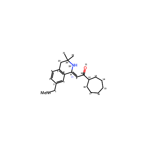 CNCc1ccc2c(c1)/C(=C/C(=O)C1CCCCCC1)NC(C)(C)C2